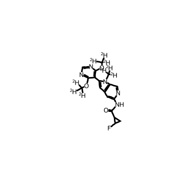 [2H]C([2H])([2H])Oc1ncnc(OC([2H])([2H])[2H])c1-c1cc2cc(NC(=O)C3CC3F)ncc2n1C([2H])([2H])[2H]